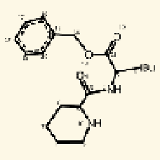 CCC(C)C(NC(=O)C1CCCCN1)C(=O)OCc1ccccc1